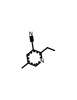 CCc1ncc(C)cc1C#N